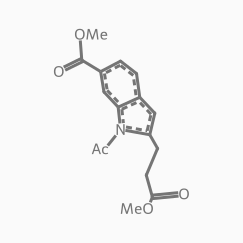 COC(=O)CCc1cc2ccc(C(=O)OC)cc2n1C(C)=O